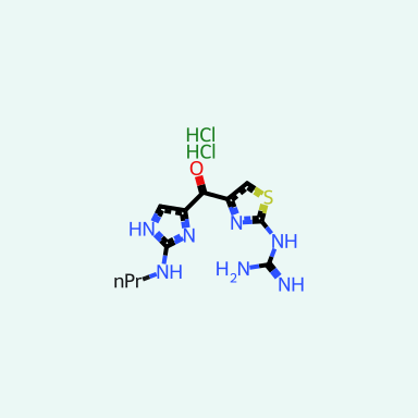 CCCNc1nc(C(=O)c2csc(NC(=N)N)n2)c[nH]1.Cl.Cl